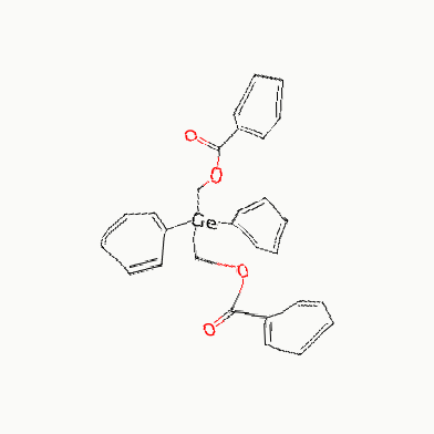 O=C(O[CH2][Ge]([CH2]OC(=O)c1ccccc1)([c]1ccccc1)[c]1ccccc1)c1ccccc1